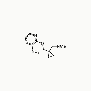 CNCC1(COc2ncccc2[N+](=O)[O-])CC1